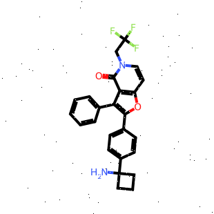 NC1(c2ccc(-c3oc4ccn(CC(F)(F)F)c(=O)c4c3-c3ccccc3)cc2)CCC1